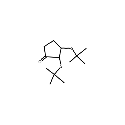 CC(C)(C)SC1CCC(=O)C1SC(C)(C)C